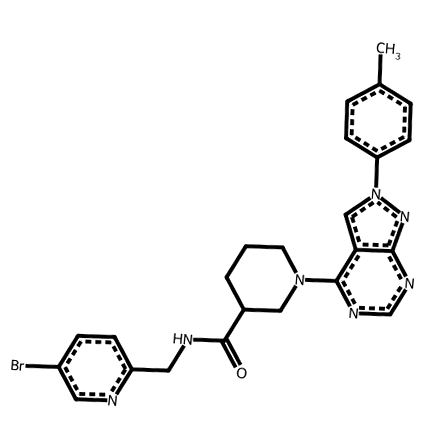 Cc1ccc(-n2cc3c(N4CCCC(C(=O)NCc5ccc(Br)cn5)C4)ncnc3n2)cc1